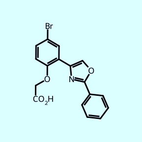 O=C(O)COc1ccc(Br)cc1-c1coc(-c2ccccc2)n1